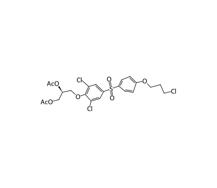 CC(=O)OC[C@H](COc1c(Cl)cc(S(=O)(=O)c2ccc(OCCCCl)cc2)cc1Cl)OC(C)=O